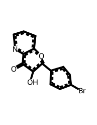 O=c1c(O)c(-c2ccc(Br)cc2)oc2cccnc12